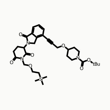 CC(C)(C)OC(=O)N1CCC(OCC#Cc2cccc3c2CN(C2CCC(=O)N(COCC[Si](C)(C)C)C2=O)C3=O)CC1